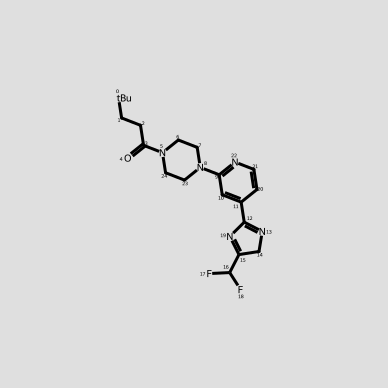 CC(C)(C)CCC(=O)N1CCN(c2cc(C3=NCC(C(F)F)=N3)ccn2)CC1